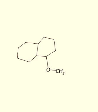 COC1CCCC2CCCCC21